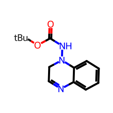 CC(C)(C)OC(=O)NN1CC=Nc2ccccc21